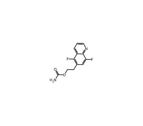 NC(=O)OCCc1cc(F)c2ncccc2c1F